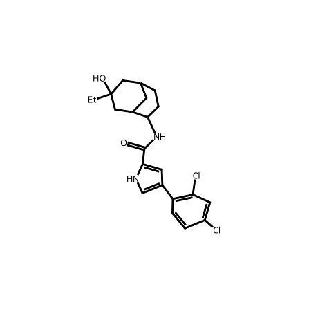 CCC1(O)CC2CCC(NC(=O)c3cc(-c4ccc(Cl)cc4Cl)c[nH]3)C(C2)C1